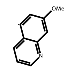 COc1c[c]c2cccnc2c1